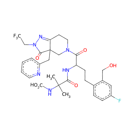 CC(C)(NC(=O)O)C(=O)NC(CCc1ccc(F)cc1CO)C(=O)N1CCC2=NN(CC(F)(F)F)C(=O)C2(Cc2ccccn2)C1